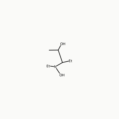 CCC(C(C)O)N(O)CC